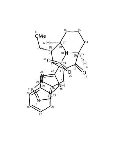 COC[C@H]1CN(Cc2cnn[nH]2)C(=O)[C@@H]2CCC[C@H]1N2S(=O)(=O)c1nc2ccccc2[nH]1